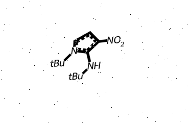 CC(C)(C)Nc1c([N+](=O)[O-])ccn1C(C)(C)C